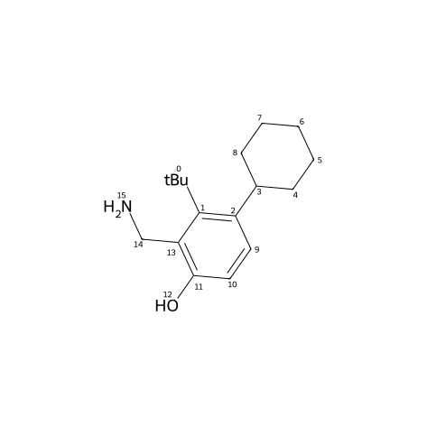 CC(C)(C)c1c(C2CCCCC2)ccc(O)c1CN